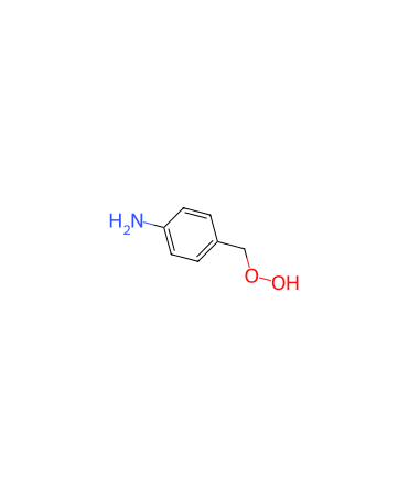 Nc1ccc(COO)cc1